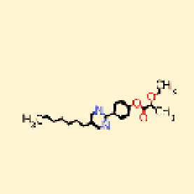 CCCCCCCc1cnc(-c2ccc(OC(=O)C(C)OCC)cc2)nc1